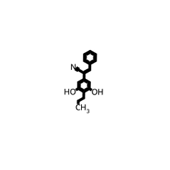 CCCc1c(O)cc(C(C#N)=Cc2ccccc2)cc1O